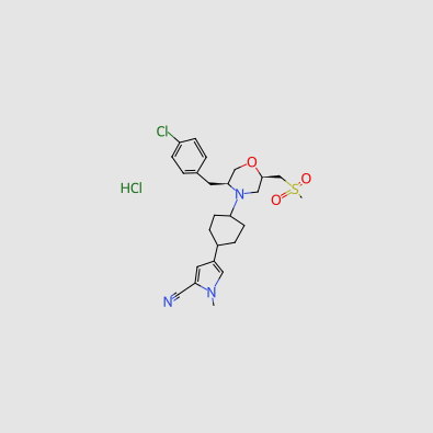 Cl.Cn1cc(C2CCC(N3C[C@H](CS(C)(=O)=O)OC[C@@H]3Cc3ccc(Cl)cc3)CC2)cc1C#N